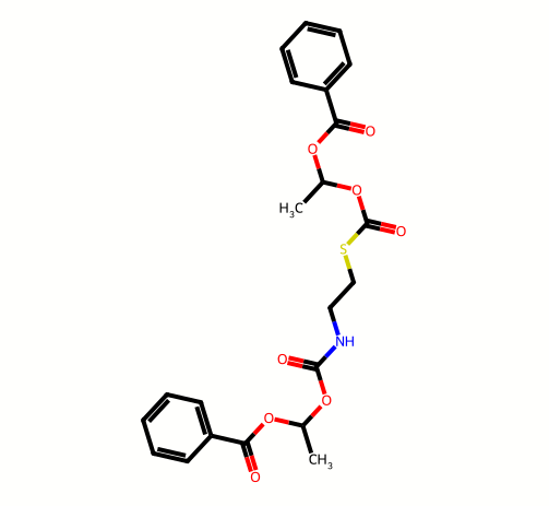 CC(OC(=O)NCCSC(=O)OC(C)OC(=O)c1ccccc1)OC(=O)c1ccccc1